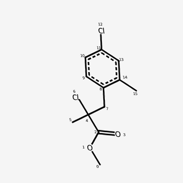 COC(=O)C(C)(Cl)Cc1ccc(Cl)cc1C